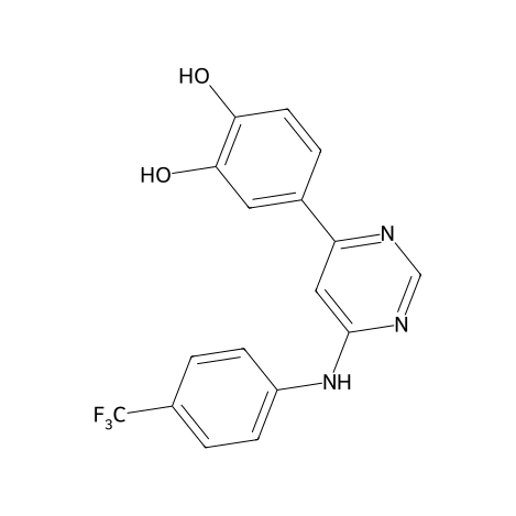 Oc1ccc(-c2cc(Nc3ccc(C(F)(F)F)cc3)ncn2)cc1O